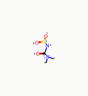 CN(C)C(=O)N=S(=O)=O